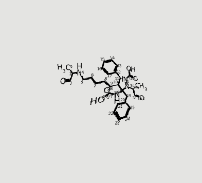 CC(C=O)NCCCCC[C@@H](Cc1ccccc1)C(Cc1ccccc1)(NC(=O)O)N(NC(=O)O)[C@@H](C)C=O